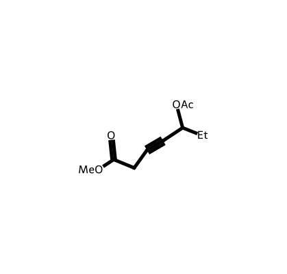 CCC(C#CCC(=O)OC)OC(C)=O